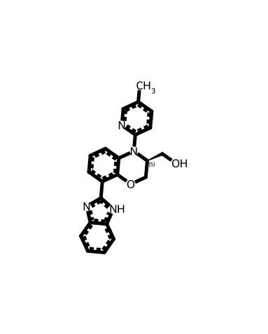 Cc1ccc(N2c3cccc(-c4nc5ccccc5[nH]4)c3OC[C@@H]2CO)nc1